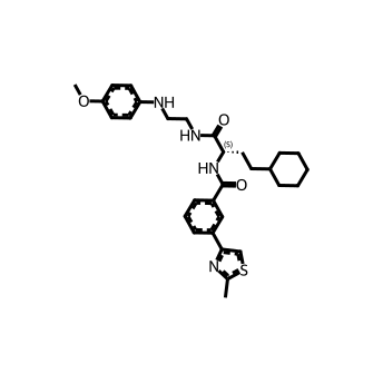 COc1ccc(NCCNC(=O)[C@H](CCC2CCCCC2)NC(=O)c2cccc(-c3csc(C)n3)c2)cc1